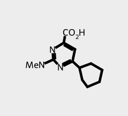 CNc1nc(C(=O)O)cc(C2CCCCC2)n1